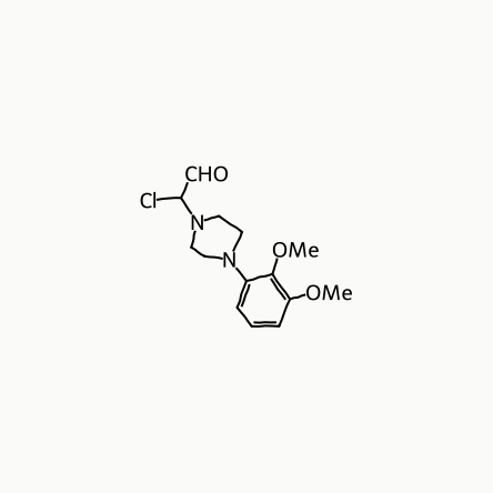 COc1cccc(N2CCN(C(Cl)C=O)CC2)c1OC